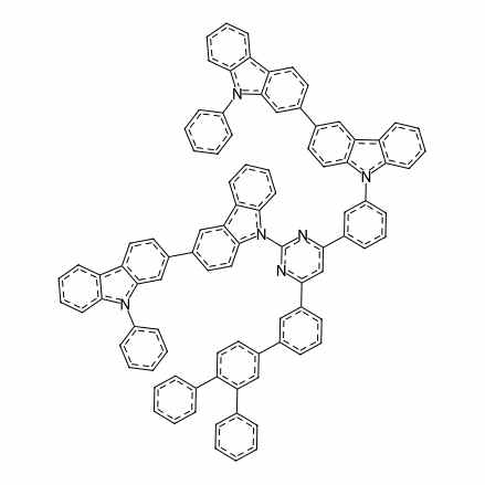 c1ccc(-c2ccc(-c3cccc(-c4cc(-c5cccc(-n6c7ccccc7c7cc(-c8ccc9c%10ccccc%10n(-c%10ccccc%10)c9c8)ccc76)c5)nc(-n5c6ccccc6c6cc(-c7ccc8c9ccccc9n(-c9ccccc9)c8c7)ccc65)n4)c3)cc2-c2ccccc2)cc1